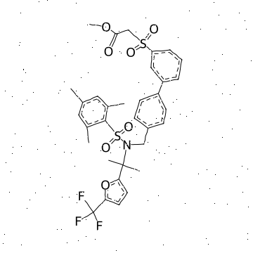 COC(=O)CS(=O)(=O)c1cccc(-c2ccc(CN(C(C)(C)c3ccc(C(F)(F)F)o3)S(=O)(=O)c3c(C)cc(C)cc3C)cc2)c1